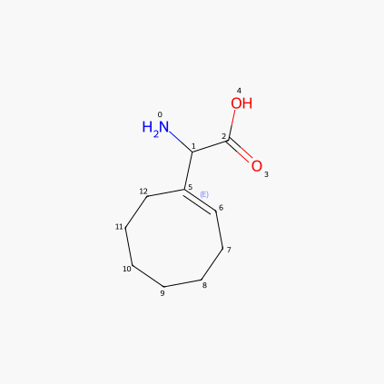 NC(C(=O)O)/C1=C/CCCCCC1